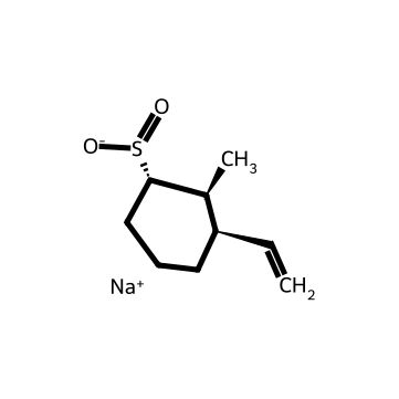 C=C[C@H]1CCC[C@H](S(=O)[O-])[C@H]1C.[Na+]